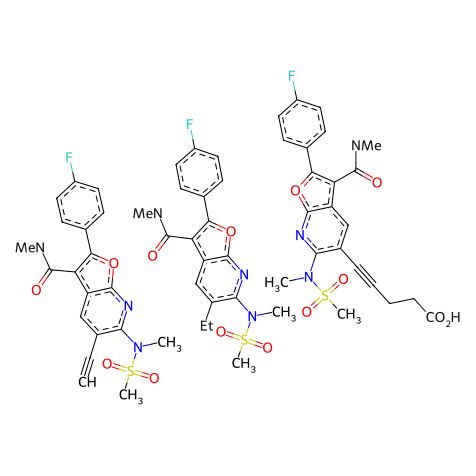 C#Cc1cc2c(C(=O)NC)c(-c3ccc(F)cc3)oc2nc1N(C)S(C)(=O)=O.CCc1cc2c(C(=O)NC)c(-c3ccc(F)cc3)oc2nc1N(C)S(C)(=O)=O.CNC(=O)c1c(-c2ccc(F)cc2)oc2nc(N(C)S(C)(=O)=O)c(C#CCCC(=O)O)cc12